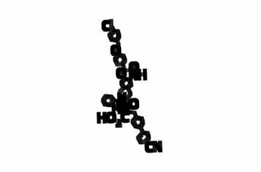 N#Cc1ccc(-c2ccc(CC(NC(=O)[C@@H]3Cc4cc5c(cc4CN3C(=O)c3ccccc3)O[C@@H](c3ccc(OCc4ccc(Cl)cc4)cc3)C(=O)N5)C(=O)O)cc2)cc1